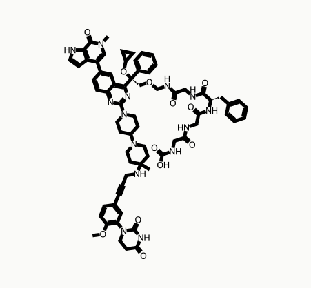 COc1ccc(C#CCNC2(C)CCN(C3CCN(c4nc([C@@](COCNC(=O)CNC(=O)[C@H](Cc5ccccc5)NC(=O)CNC(=O)CNC(=O)O)(OC5CC5)c5ccccc5)c5cc(-c6cn(C)c(=O)c7[nH]ccc67)ccc5n4)CC3)CC2)cc1N1CCC(=O)NC1=O